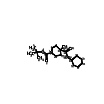 CC(C)(C)OC(=O)N1CCC(C)(C(=O)NC2CC[CH]CC2)CC1